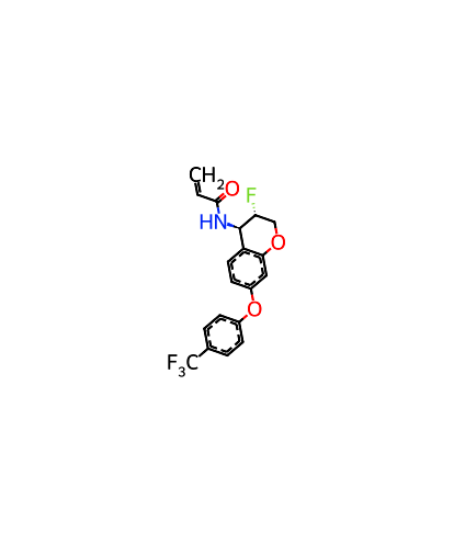 C=CC(=O)N[C@@H]1c2ccc(Oc3ccc(C(F)(F)F)cc3)cc2OC[C@H]1F